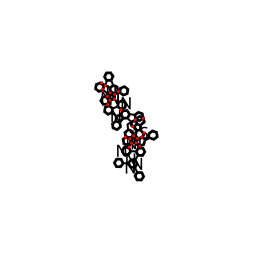 CC1(C)c2ccccc2-c2ccc3c(c21)c1ccccc1n3-c1cnccc1-c1c(-c2nc(-c3ccccc3)nc(-c3ccccc3)n2)cccc1-n1c2ccccc2c2c3c(ccc21)-c1ccccc1C3(C)Cc1ccc2c(c1)c1c3sc4ccccc4c3ccc1n2-c1cnccc1-c1c(-c2nc(-c3ccccc3)nc(-c3ccccc3)n2)cccc1-n1c2ccccc2c2c3sc4ccccc4c3ccc21